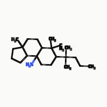 CCCC(C)(C)C1CCC2(N)C3CCCC3(C)CCC2C1(C)C